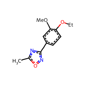 CCOc1ccc(-c2noc(C)n2)cc1OC